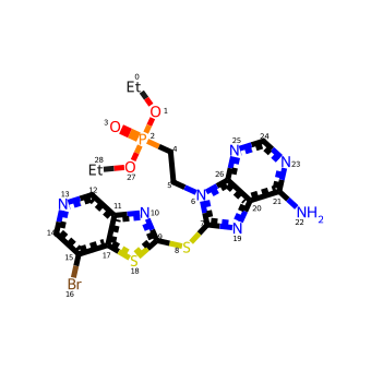 CCOP(=O)(CCn1c(Sc2nc3cncc(Br)c3s2)nc2c(N)ncnc21)OCC